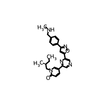 CC[C@H](C)Cn1cc(-c2cncc(-c3cc(-c4ccc(CNC)cc4)no3)n2)ccc1=O